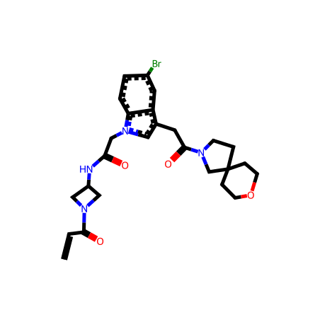 C=CC(=O)N1CC(NC(=O)Cn2cc(CC(=O)N3CCC4(CCOCC4)C3)c3cc(Br)ccc32)C1